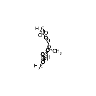 CCCc1cc(Oc2ccccc2NS(=O)(=O)c2ccc(C)cc2)ccc1OCCCOc1ccc(C(Cl)C(=O)OCC)cc1